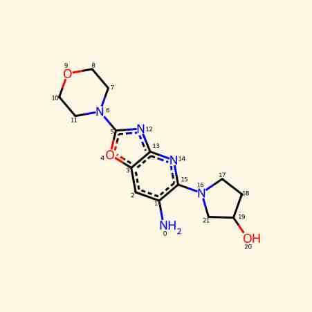 Nc1cc2oc(N3CCOCC3)nc2nc1N1CCC(O)C1